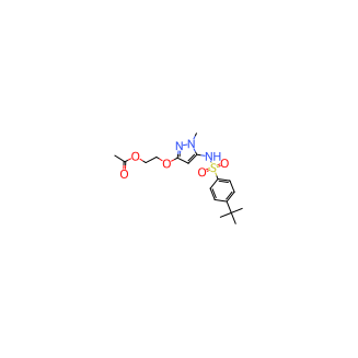 CC(=O)OCCOc1cc(NS(=O)(=O)c2ccc(C(C)(C)C)cc2)n(C)n1